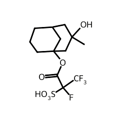 CC1(O)CC2CCCC(OC(=O)C(F)(C(F)(F)F)S(=O)(=O)O)(C2)C1